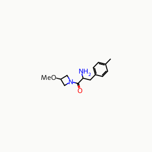 COC1CN(C(=O)C(N)Cc2ccc(C)cc2)C1